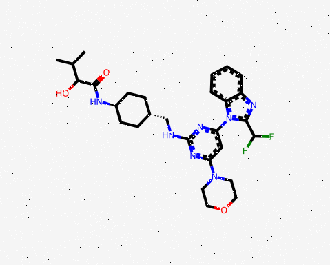 CC(C)C(O)C(=O)N[C@H]1CC[C@H](CNc2nc(N3CCOCC3)cc(-n3c(C(F)F)nc4ccccc43)n2)CC1